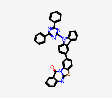 O=c1c2ccccc2nc2sc3ccc(-c4ccc5c(c4)c4ccccc4n5-c4nc(-c5ccccc5)nc(-c5ccccc5)n4)cc3n12